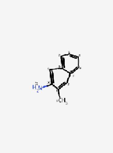 Cc1cc2ccccc2cc1N